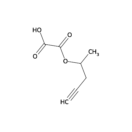 C#CCC(C)OC(=O)C(=O)O